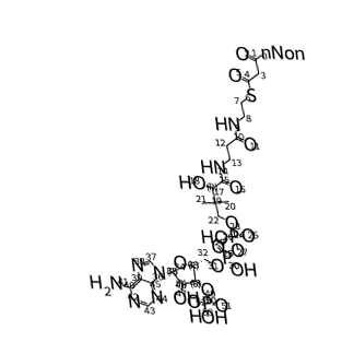 CCCCCCCCCC(=O)CC(=O)SCCNC(=O)CCNC(=O)[C@H](O)C(C)(C)COP(=O)(O)OP(=O)(O)OC[C@H]1O[C@@H](n2cnc3c(N)ncnc32)[C@H](O)[C@@H]1OP(=O)(O)O